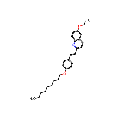 CCCCCCCCCOc1ccc(C=Cc2ccc3cc(OCC)ccc3n2)cc1